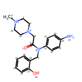 CN1CCN(CC(=O)N(Cc2ccccc2O)c2ccc(N)cc2)CC1